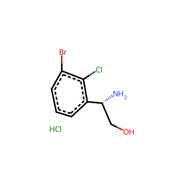 Cl.N[C@H](CO)c1cccc(Br)c1Cl